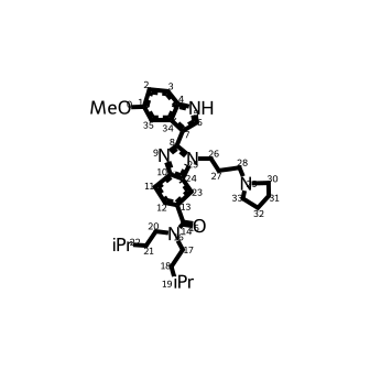 COc1ccc2[nH]cc(-c3nc4ccc(C(=O)N(CCC(C)C)CCC(C)C)cc4n3CCCN3CCCC3)c2c1